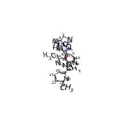 CC1=N\C/C(C(=O)Nc2cccc3c2c(C)nn3Cc2cccc(C)n2)=N/C=C/C(c2cnn(C)c2)=C\1